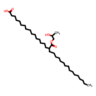 CCCCCCCCCCCCCCCCC(CCCCCCCCCCCCCCCC(=O)O)C(=O)OCC(C)O